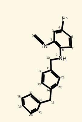 C=Nc1cc(F)ccc1NCc1ccc(Cc2ccccc2)cc1